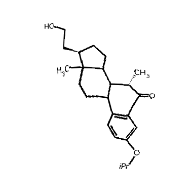 CC(C)Oc1ccc2c(c1)C(=O)[C@@H](C)C1C2CCC2(C)C1CC[C@@H]2CCO